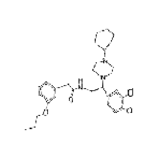 CCCOc1cccc(CC(=O)NCC(c2ccc(Cl)c(Cl)c2)N2CCN(C3CCCCC3)CC2)c1